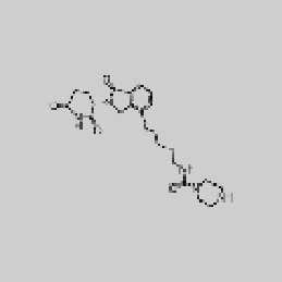 O=C1CCC(N2Cc3c(SCCCCNC(=O)N4CCNCC4)cccc3C2=O)C(=O)N1